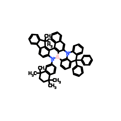 CC1(C)CCC(C)(C)c2cc(N3B4c5cccc6c5N(c5ccccc5C6(c5ccccc5)c5ccccc5)c5cc6ccccc6c(c54)-c4c3ccc3c4C(C)(C)c4ccccc4-3)ccc21